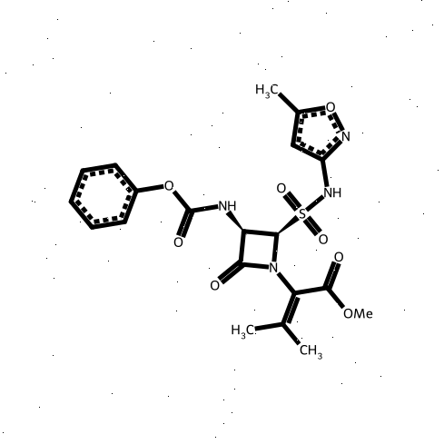 COC(=O)C(=C(C)C)N1C(=O)[C@@H](NC(=O)Oc2ccccc2)[C@H]1S(=O)(=O)Nc1cc(C)on1